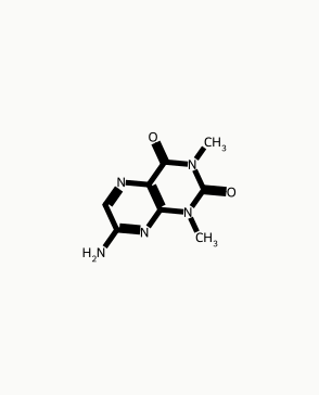 Cn1c(=O)c2ncc(N)nc2n(C)c1=O